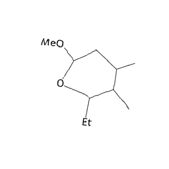 CCC1OC(OC)CC(C)C1C